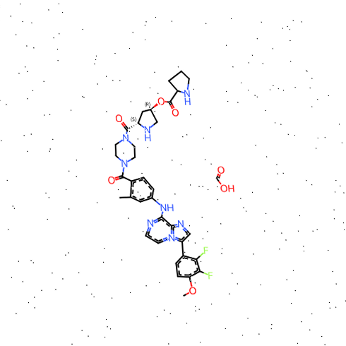 COc1ccc(-c2cnc3c(Nc4ccc(C(=O)N5CCN(C(=O)[C@@H]6C[C@@H](OC(=O)C7CCCN7)CN6)CC5)c(C)c4)nccn23)c(F)c1F.O=CO